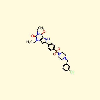 CCn1c(=O)c2[nH]c(-c3ccc(S(=O)(=O)N4CCN(Cc5cccc(Cl)c5)CC4)cc3)cc2n(CC)c1=O